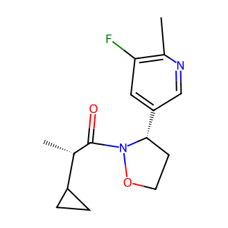 Cc1ncc([C@@H]2CCON2C(=O)[C@@H](C)C2CC2)cc1F